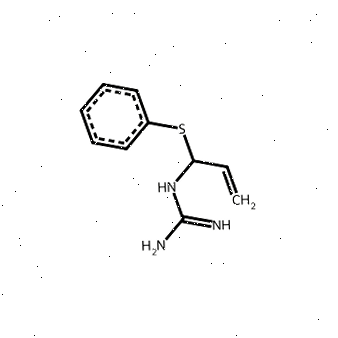 C=CC(NC(=N)N)Sc1ccccc1